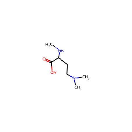 CNC(CCN(C)C)C(=O)O